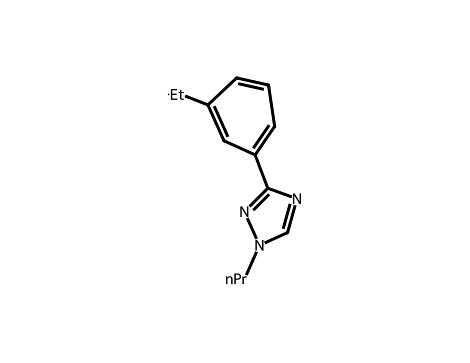 C[CH]c1cccc(-c2ncn(CCC)n2)c1